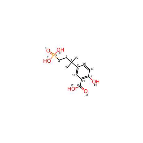 CC(C)(CCP(=O)(O)O)c1ccc(O)c(C(=O)O)c1